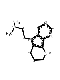 CN(C)CCn1c2c(c3ncncc31)OCCC2